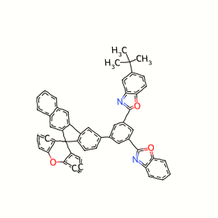 CC(C)(C)c1ccc2oc(-c3cc(-c4ccc5c(c4)-c4cc6ccccc6cc4C54c5ccccc5Oc5ccccc54)cc(-c4nc5ccccc5o4)c3)nc2c1